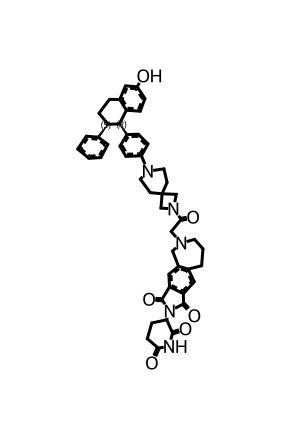 O=C1CCC(N2C(=O)c3cc4c(cc3C2=O)CN(CC(=O)N2CC3(CCN(c5ccc([C@@H]6c7ccc(O)cc7CC[C@@H]6c6ccccc6)cc5)CC3)C2)CCC4)C(=O)N1